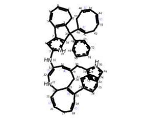 C1=CCC2=C(C=C1)c1cc(NC3=C/NC4/C=C\C/C=C\C(c5ccccc5)=C/4C/C(Cc4ccc[nH]4)=C\3)[nH]c1C2(/C1=C/C/C=C\C=C/C1)c1ccccc1